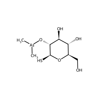 C[As](C)O[C@@H]1[C@@H](O)[C@H](O)[C@@H](CO)O[C@H]1S